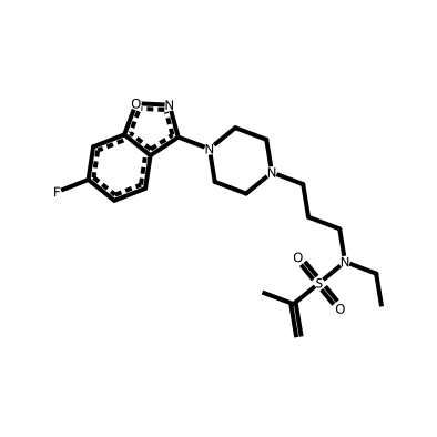 C=C(C)S(=O)(=O)N(CC)CCCN1CCN(c2noc3cc(F)ccc23)CC1